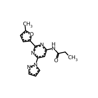 CCC(=O)Nc1cc(-n2cccn2)nc(-c2ccc(C)o2)n1